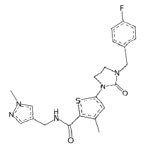 Cc1cc(N2CCN(Cc3ccc(F)cc3)C2=O)sc1C(=O)NCc1cnn(C)c1